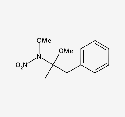 CON([N+](=O)[O-])C(C)(Cc1ccccc1)OC